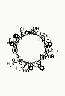 CCCC[C@H]1C(=O)N2CCC[C@@H]2C(=O)N[C@@H](CC(=O)O)C(=O)N[C@@H](C(C)C)C(=O)N(C)[C@@H](Cc2ccccc2)C(=O)N[C@@H](CCC(N)=O)C(=O)N2C[C@H](O)C[C@H]2C(=O)N[C@@H](Cc2c[nH]c3ccccc23)C(=O)N[C@@H](Cc2ccc(O)cc2)C(=O)N[C@@H](CCCN)C(=O)N[C@H](C(=O)NCC(N)=O)CSCC(=O)N[C@@H](Cc2cc(F)c(F)c(F)c2)C(=O)N(C)[C@@H](Cc2ccccc2)C(=O)N1C